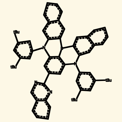 CC(C)(C)c1cc(N2c3cc4ccccc4cc3B3c4cc5ccccc5cc4N(c4cc(C(C)(C)C)cc(C(C)(C)C)c4)c4cc(-c5ncc6ccccc6n5)cc2c43)cc(C(C)(C)C)c1